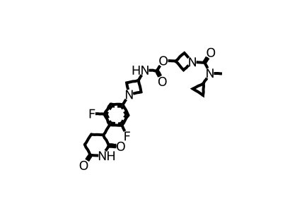 CN(C(=O)N1CC(OC(=O)NC2CN(c3cc(F)c(C4CCC(=O)NC4=O)c(F)c3)C2)C1)C1CC1